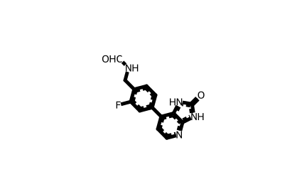 O=CNCc1ccc(-c2ccnc3[nH]c(=O)[nH]c23)cc1F